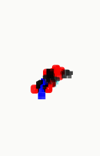 CC(C)OP1(=O)OC[C@@]2(F)O[C@@H](n3ccc(=O)[nH]c3=O)[C@](C)(O)[C@@H]2O1